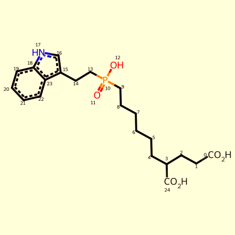 O=C(O)CCC(CCCCCCP(=O)(O)CCc1c[nH]c2ccccc12)C(=O)O